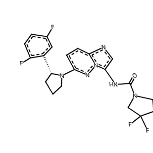 O=C(Nc1cnc2ccc(N3CCC[C@@H]3c3cc(F)ccc3F)nn12)N1CCC(F)(F)C1